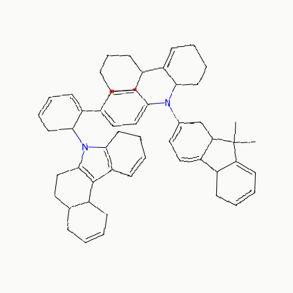 CC1(C)C2=CC=CCC2C2=CC=C(N(c3ccc(C4=CC=CCC4n4c5c(c6c4CCC4CC=CCC64)C=CCC5)cc3)C3CCCC=C3C3CCCCC3)CC21